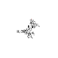 CCC(=O)N[C@@H](C(=O)N1CCN(C)CC1)[C@@H](C)c1ccc(NC(=O)[C@H](C)NC(=O)C(F)(F)C23CC(C2)C3)c(F)c1